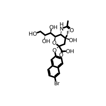 CC(=O)N[C@H]1[C@H]([C@H](O)[C@H](O)CO)O[C@](Oc2ccc3cc(Br)ccc3c2)(C(=O)O)C[C@@]1(O)F